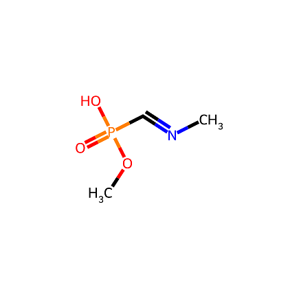 CN=CP(=O)(O)OC